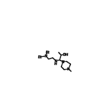 CCN(CC)CCNC(C(C)O)N1CCN(C)CC1